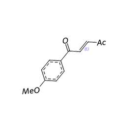 COc1ccc(C(=O)/C=C/C(C)=O)cc1